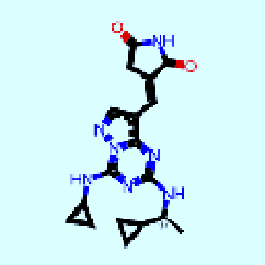 C[C@H](Nc1nc(NC2CC2)n2ncc(C=C3CC(=O)NC3=O)c2n1)C1CC1